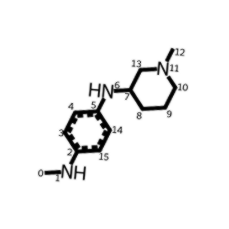 CNc1ccc(NC2CCCN(C)C2)cc1